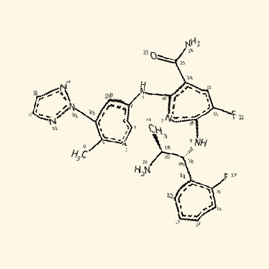 Cc1ncc(Nc2nc(N[C@H](c3ccccc3F)[C@H](C)N)c(F)cc2C(N)=O)cc1-n1nccn1